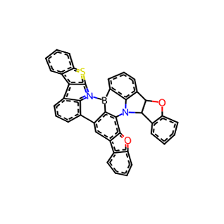 c1ccc2c(c1)OC1c3cccc4c3N(c3c5c(cc6c3oc3ccccc36)-c3cccc6c7c8ccccc8sc7n(c36)B45)C21